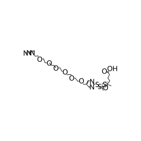 C[Si](C)(CCCC(=O)O)O[Si](C)(C)CSc1ncc(COCCOCCOCCOCCOCCOCCN=[N+]=[N-])cn1